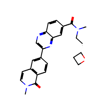 CN(CC[C@H]1CCO1)C(=O)c1ccc2ncc(-c3ccc4c(=O)n(C)ccc4c3)nc2c1